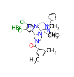 Br.Cc1cc(C)cc(C(=O)N2CCN(C3C(N)CCN(Cc4ccccc4)C3(CC=O)N(C)C)C(c3ccc(Cl)c(Cl)c3)C2)c1